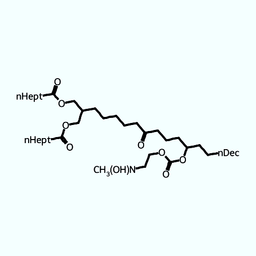 CCCCCCCCCCCCC(CCCC(=O)CCCCCC(COC(=O)CCCCCCC)COC(=O)CCCCCCC)OC(=O)OCCN(C)O